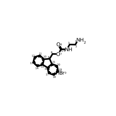 Br.NCCNC(=O)OCC1c2ccccc2-c2ccccc21